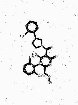 COc1cccc(OC)c1-n1c(COC(C)C)nc(=O)c(C(=O)N2CCC(c3ccccc3C(F)(F)F)C2)c1O